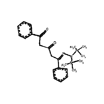 C[Si](C)(C)N(N=C(CC(=O)CC(=O)c1ccccc1)c1ccccc1)[Si](C)(C)C